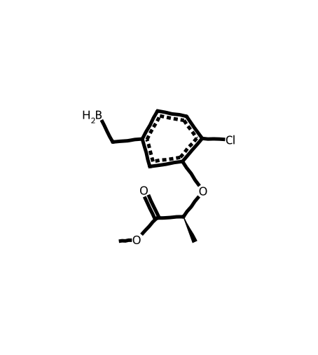 BCc1ccc(Cl)c(O[C@@H](C)C(=O)OC)c1